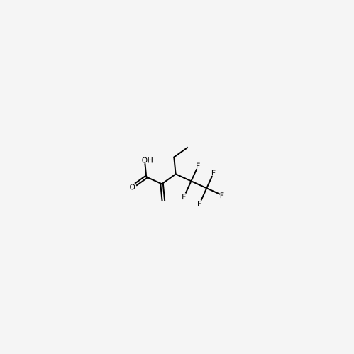 C=C(C(=O)O)C(CC)C(F)(F)C(F)(F)F